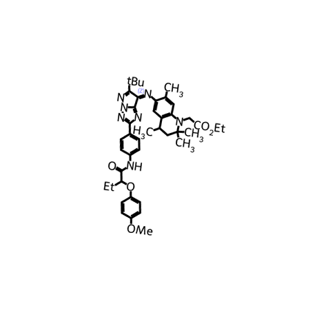 CCOC(=O)CN1c2cc(C)c(/N=C3/C(C(C)(C)C)=Nn4nc(-c5ccc(NC(=O)C(CC)Oc6ccc(OC)cc6)cc5)nc43)cc2C(C)CC1(C)C